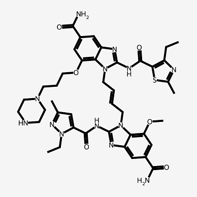 CCc1nc(C)sc1C(=O)Nc1nc2cc(C(N)=O)cc(OCCCN3CCNCC3)c2n1C/C=C/Cn1c(NC(=O)c2cc(C)nn2CC)nc2cc(C(N)=O)cc(OC)c21